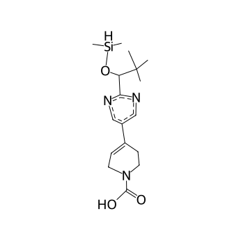 C[SiH](C)OC(c1ncc(C2=CCN(C(=O)O)CC2)cn1)C(C)(C)C